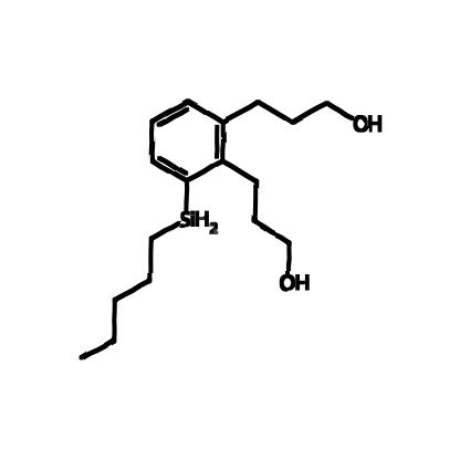 CCCCC[SiH2]c1cccc(CCCO)c1CCCO